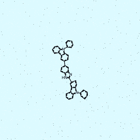 c1ccc(-n2c3ccccc3c3cc(-c4ccc5[nH]c(-c6ccc7c(c6)c6ccccc6n7-c6ccccc6)nc5c4)ccc32)cc1